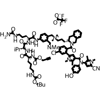 C#CCOC(=O)N[C@@H](CCCCNC(=O)OC(C)(C)C)C(=O)N[C@H](C(=O)N[C@@H](CCCNC(N)=O)C(=O)Nc1ccc(C[N+](C)(C)CCC[C@@H]2Cc3ccccc3CN2C(=O)c2ccc(Cl)cc2-c2cc(C(=O)N(c3ccc(O)cc3)c3cc(C#N)n(C)c3C)c(C)n2C)c(CNC)c1)C(C)C.O=C([O-])C(F)(F)F